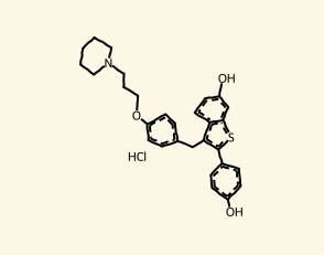 Cl.Oc1ccc(-c2sc3cc(O)ccc3c2Cc2ccc(OCCCN3CCCCC3)cc2)cc1